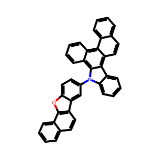 c1ccc2c(c1)ccc1c3cc(-n4c5ccccc5c5c6ccc7ccccc7c6c6ccccc6c54)ccc3oc21